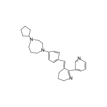 C(=C1CCCN=C1c1cccnc1)c1ccc(N2CCCN(C3CCCC3)CC2)cc1